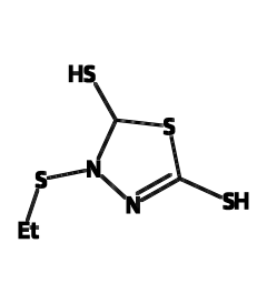 CCSN1N=C(S)SC1S